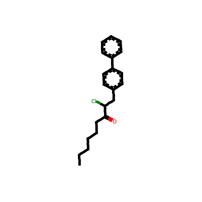 CCCCCCC(=O)C(Cl)Cc1ccc(-c2[c]cccc2)cc1